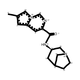 Cc1cc2cc(C(=O)N[C@@H]3CC4CCN(C4)C3)ncn2c1